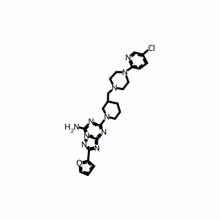 Nc1nc(N2CCCC(CN3CCN(c4ccc(Cl)cn4)CC3)C2)nc2nc(-c3ccco3)nn12